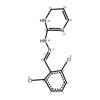 Clc1cccc(Cl)c1/C=N/NC1=NC=CCN1